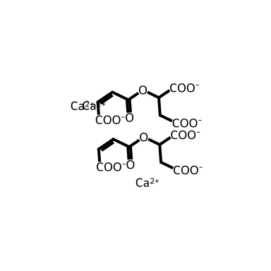 O=C([O-])/C=C\C(=O)OC(CC(=O)[O-])C(=O)[O-].O=C([O-])/C=C\C(=O)OC(CC(=O)[O-])C(=O)[O-].[Ca+2].[Ca+2].[Ca+2]